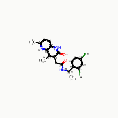 Cc1ccc2[nH]c(=O)c(CC(=O)N[C@@H](C)c3ccc(F)cc3F)c(C)c2n1